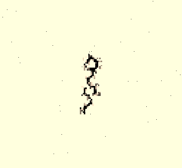 N#CCN1CCN(CCc2ccccn2)CC1